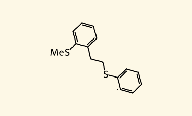 CSc1ccccc1CCSc1[c]cccc1